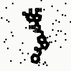 O=C(CN1CC[CH]CC1)N1CCc2cc(CNC[C@H](O)c3ccc(O)c4[nH]c(=O)ccc34)ccc21